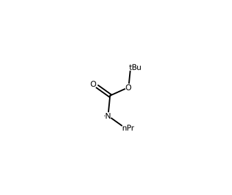 CCC[N]C(=O)OC(C)(C)C